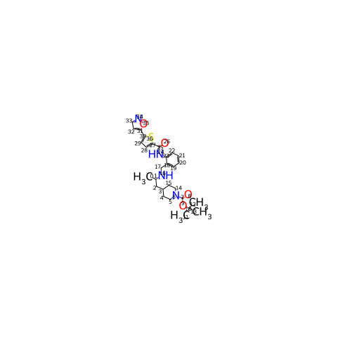 CC(CC1CCN(C(=O)OC(C)(C)C)CC1)NCc1ccccc1NC(=O)c1ccc(-c2ccno2)s1